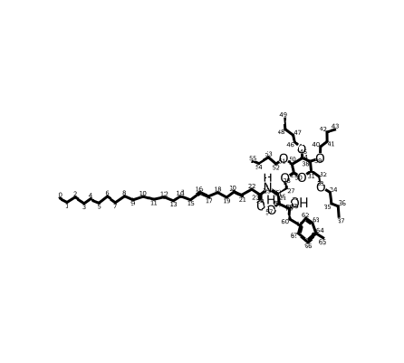 CCCCCCCCCCCCCCCCCCCCCCCC(=O)N[C@@H](COC1OC(COCCCC)C(OCCCC)C(OCCCC)C1OCCCC)[C@H](O)[C@H](O)Cc1ccc(C)cc1